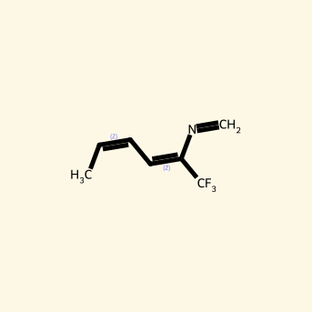 C=N/C(=C\C=C/C)C(F)(F)F